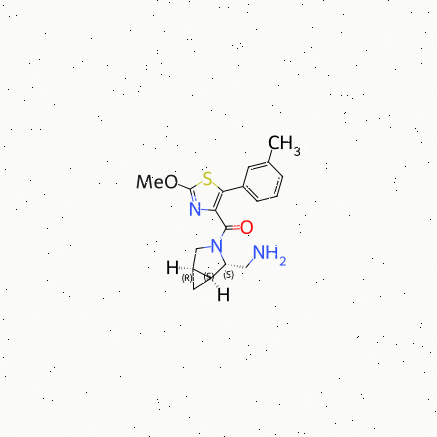 COc1nc(C(=O)N2C[C@@H]3C[C@@H]3[C@H]2CN)c(-c2cccc(C)c2)s1